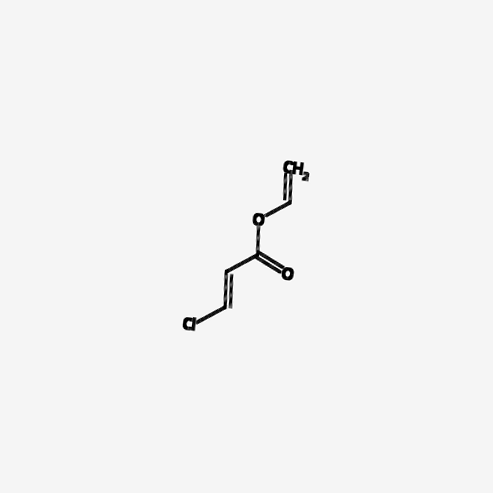 C=COC(=O)C=CCl